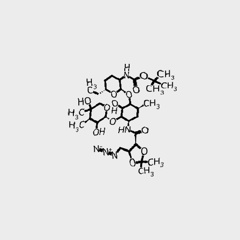 CC[C@@H]1CCC(NC(=O)OC(C)(C)C)[C@@H](OC2C(O)C(O[C@H]3OCC(C)(O)[C@H](C)C3O)[C@H](NC(=O)[C@H]3OC(C)(C)OC3CN=[N+]=[N-])C[C@@H]2C)O1